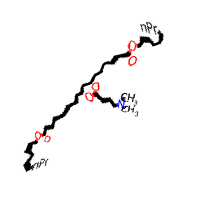 CCC/C=C\C/C=C\COC(=O)CCCCCCCC(CCCCCCCC(=O)OC/C=C\C/C=C\CCC)OC(=O)CCCN(C)C